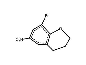 O=[N+]([O-])c1cc(Br)c2c(c1)CCCO2